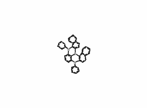 c1ccc(N2c3cccc4c3B(c3ccc5ccccc5c3N4c3ccccc3)c3c2ccc2ccccc32)cc1